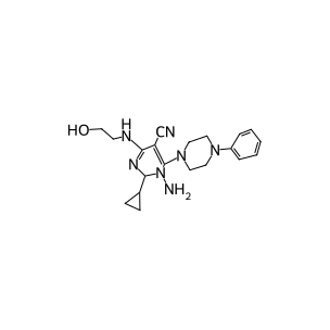 N#CC1=C(N2CCN(c3ccccc3)CC2)N(N)C(C2CC2)N=C1NCCO